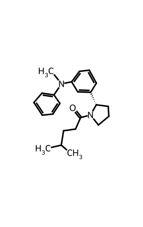 CC(C)CCC(=O)N1CCC[C@H]1c1cccc(N(C)c2ccccc2)c1